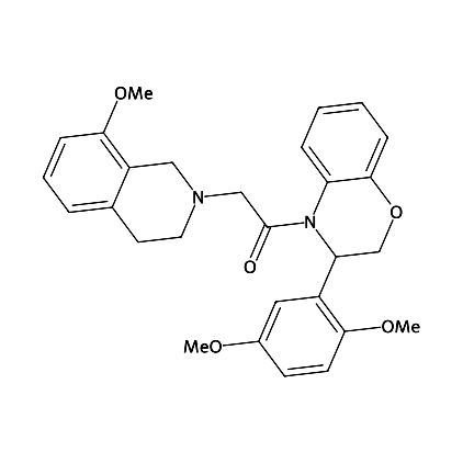 COc1ccc(OC)c(C2COc3ccccc3N2C(=O)CN2CCc3cccc(OC)c3C2)c1